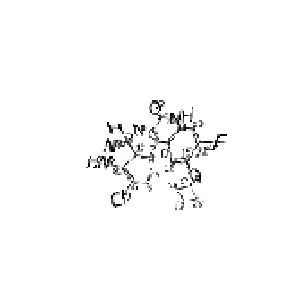 Nc1c(-c2ccc(Cl)c3[nH]ncc23)c2cc(OC3CCC3)c(F)cc2[nH]c1=O